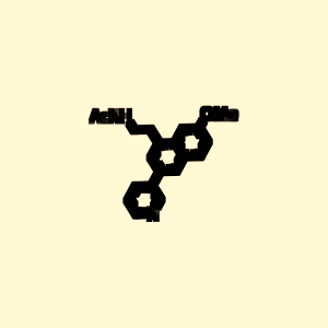 COc1ccc2cc(-c3cccnc3)cc(CCNC(C)=O)c2c1